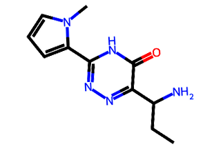 CCC(N)c1nnc(-c2cccn2C)[nH]c1=O